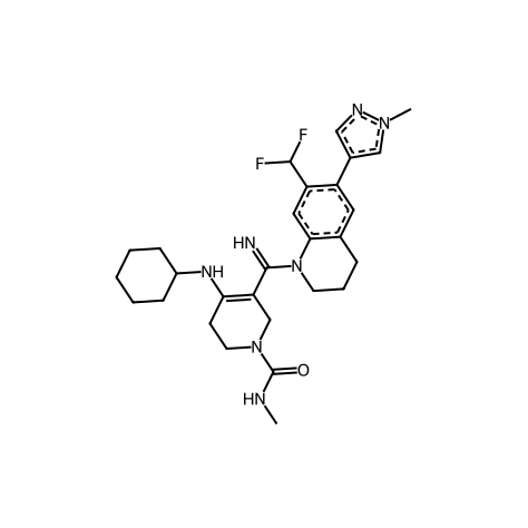 CNC(=O)N1CCC(NC2CCCCC2)=C(C(=N)N2CCCc3cc(-c4cnn(C)c4)c(C(F)F)cc32)C1